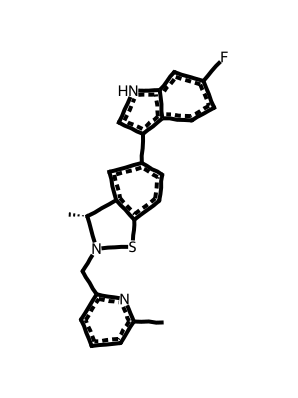 Cc1cccc(CN2Sc3ccc(-c4c[nH]c5cc(F)ccc45)cc3[C@H]2C)n1